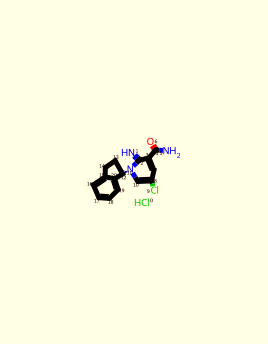 Cl.N=c1c(C(N)=O)cc(Cl)cn1[C@H]1CCc2ccccc21